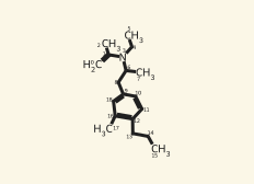 C=C(C)N(CC)C(C)Cc1ccc(CCC)c(C)c1